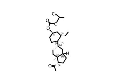 CC[C@H]1C[C@H](OC(=O)OC(C)Cl)CC[C@]1(C)[C@H]1CC[C@@]2(C)[C@@H](CC[C@@H]2C(C)=O)C1